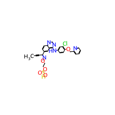 CC#CC(=NOCCO[SH](=O)=O)c1ccc2ncnc(Nc3ccc(OCc4ccccn4)c(Cl)c3)c2c1